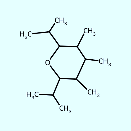 CC(C)C1OC(C(C)C)C(C)C(C)C1C